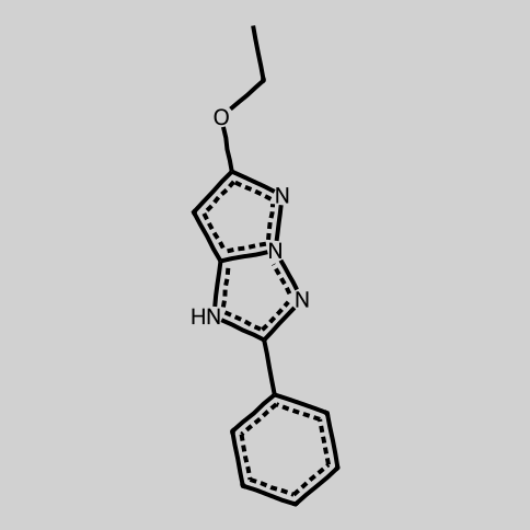 CCOc1cc2[nH]c(-c3ccccc3)nn2n1